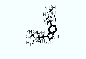 [2H]c1[nH]c2ccc(C([2H])([2H])S(=O)(=O)NC([2H])([2H])[2H])cc2c1C([2H])([2H])C([2H])([2H])N(C)C([2H])([2H])[2H]